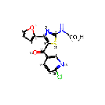 O=C(O)Nc1nc(-c2ccco2)c(C(=O)c2ccc(Cl)nc2)s1